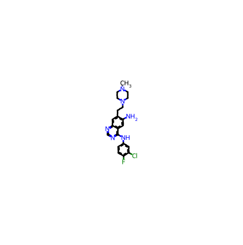 CN1CCN(CCc2cc3ncnc(Nc4ccc(F)c(Cl)c4)c3cc2N)CC1